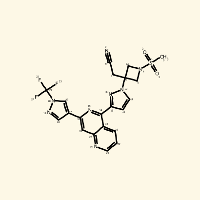 CS(=O)(=O)N1CC(CC#N)(n2ccc(-c3nc(-c4cnn(C(F)(F)F)c4)cc4ncccc34)n2)C1